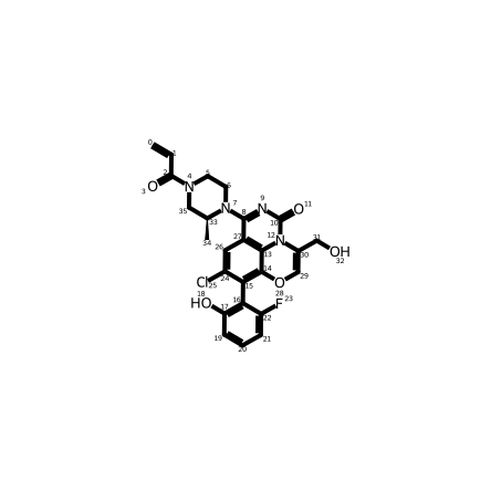 C=CC(=O)N1CCN(c2nc(=O)n3c4c(c(-c5c(O)cccc5F)c(Cl)cc24)OC=C3CO)[C@@H](C)C1